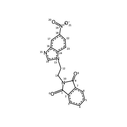 O=C1c2ccccc2C(=O)N1CCn1cnc2cc([N+](=O)[O-])ccc21